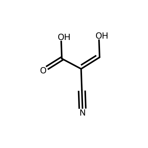 N#CC(=CO)C(=O)O